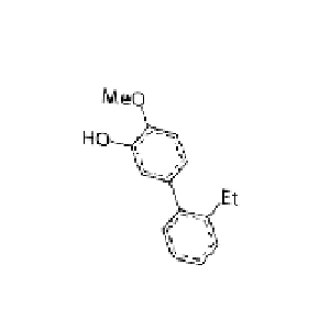 CCc1ccccc1-c1ccc(OC)c(O)c1